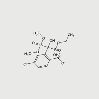 CCOP(=O)(O)C(O)(c1cc(Cl)ccc1[N+](=O)[O-])P(=O)(OC)OC